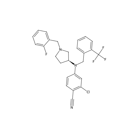 N#Cc1ccc(N(Cc2ccccc2C(F)(F)F)[C@H]2CCN(Cc3ccccc3F)C2)cc1Cl